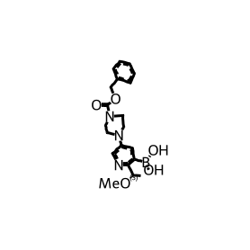 CO[C@@H](C)c1ncc(N2CCN(C(=O)OCc3ccccc3)CC2)cc1B(O)O